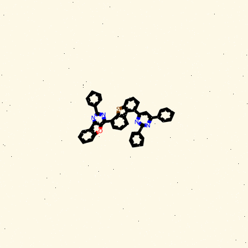 c1ccc(-c2cc(-c3cccc4sc5c(-c6nc(-c7ccccc7)nc7c6oc6ccccc67)cccc5c34)nc(-c3ccccc3)n2)cc1